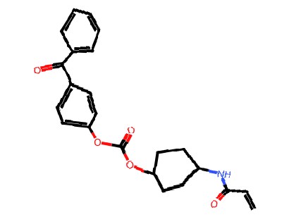 C=CC(=O)NC1CCC(OC(=O)Oc2ccc(C(=O)c3ccccc3)cc2)CC1